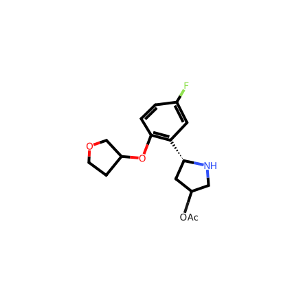 CC(=O)OC1CN[C@@H](c2cc(F)ccc2OC2CCOC2)C1